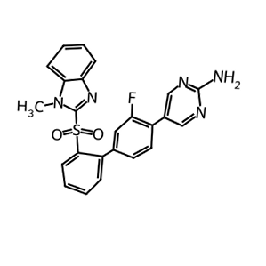 Cn1c(S(=O)(=O)c2ccccc2-c2ccc(-c3cnc(N)nc3)c(F)c2)nc2ccccc21